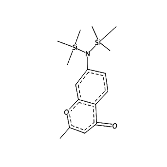 Cc1cc(=O)c2ccc(N([Si](C)(C)C)[Si](C)(C)C)cc2o1